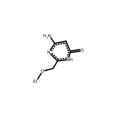 CCOCc1nc(N)cc(=O)[nH]1